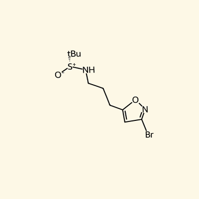 CC(C)(C)[S@@+]([O-])NCCCc1cc(Br)no1